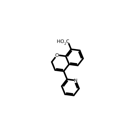 O=C(O)c1cccc2c1OCC=C2c1ccccn1